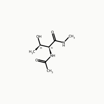 CNC(=O)[C@@H](NC(C)=O)[C@@H](C)O